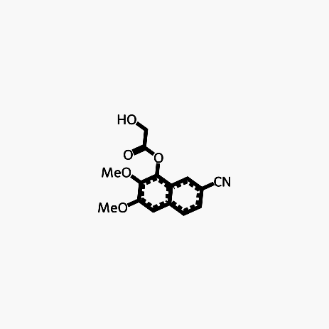 COc1cc2ccc(C#N)cc2c(OC(=O)CO)c1OC